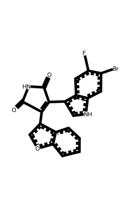 O=C1NC(=O)C(c2coc3ccccc23)=C1c1c[nH]c2cc(Br)c(F)cc12